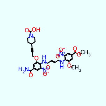 COC(=O)c1cc(OC)c(NCC=CCNc2c(OCC#CC3CCN(C(=O)O)CC3)cc(C(N)=O)cc2[N+](=O)[O-])c([N+](=O)[O-])c1